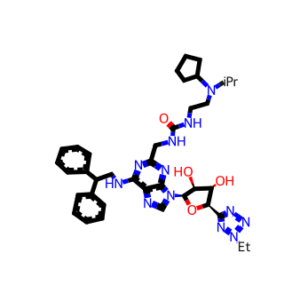 CCn1nnc([C@H]2O[C@@H](n3cnc4c(NCC(c5ccccc5)c5ccccc5)nc(CNC(=O)NCCN(C(C)C)C5CCCC5)nc43)[C@@H](O)[C@@H]2O)n1